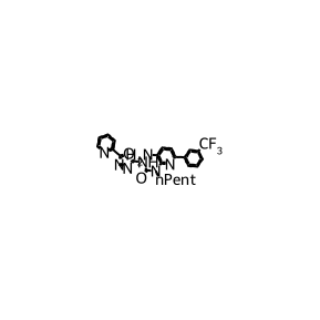 CCCCCN(C(=O)Nc1nnc(-c2ccccn2)o1)c1nc(-c2cccc(C(F)(F)F)c2)ccc1N